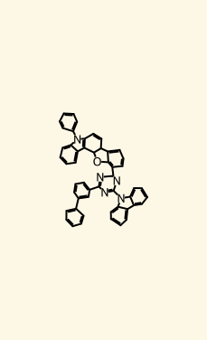 C1=CC2c3cccc(-c4nc(-c5cccc(-c6ccccc6)c5)nc(-n5c6ccccc6c6ccccc65)n4)c3OC2c2c1n(-c1ccccc1)c1ccccc21